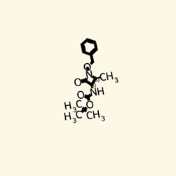 C[C@H]1[C@@H](NC(=O)OC(C)(C)C)C(=O)N1OCc1ccccc1